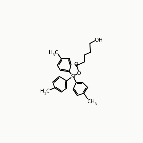 Cc1ccc([Si](OC(=O)CCCCO)(c2ccc(C)cc2)c2ccc(C)cc2)cc1